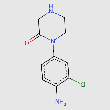 Nc1ccc(N2CCNCC2=O)cc1Cl